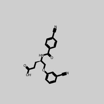 N#Cc1ccc(C(=O)N[C@H](CCC(=O)O)COc2cccc(C#N)c2)cc1